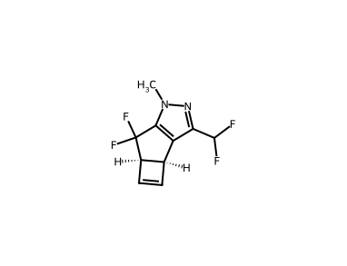 Cn1nc(C(F)F)c2c1C(F)(F)[C@@H]1C=C[C@H]21